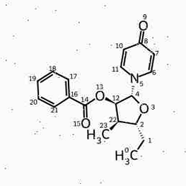 CC[C@H]1O[C@@H](n2ccc(=O)cc2)[C@H](OC(=O)c2ccccc2)[C@@H]1C